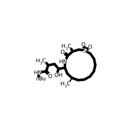 CCCCNC(=O)C(C)CC(O)C1C[C@H](C)CCCCCCCS(=O)(=O)CC(C)C(=O)N1